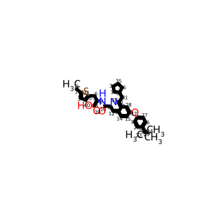 CCc1ccc(CC(NC(=O)c2cc3ccc(Oc4ccc(C(C)(C)C)cc4)cc3c(CC3CCCC3)n2)C(=O)O)s1